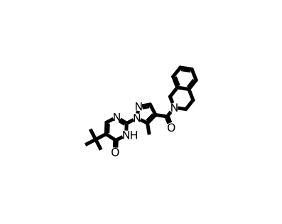 Cc1c(C(=O)N2CCc3ccccc3C2)cnn1-c1ncc(C(C)(C)C)c(=O)[nH]1